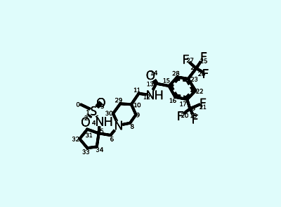 CS(=O)(=O)NC1(CN2CCC(CNC(=O)c3cc(C(F)(F)F)cc(C(F)(F)F)c3)CC2)CCCC1